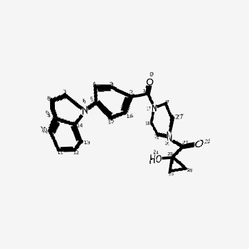 O=C(c1ccc(N2CCc3ccccc32)cc1)N1CCN(C(=O)C2(O)CC2)CC1